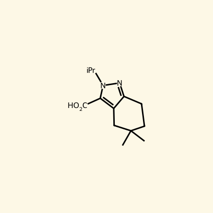 CC(C)n1nc2c(c1C(=O)O)CC(C)(C)CC2